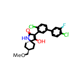 COC[C@H]1CC[C@]2(CC1)NC(=O)C(c1cc(-c3ccc(Cl)c(F)c3)ccc1Cl)=C2O